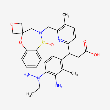 CCN(N)c1ccc(C(CC(=O)O)c2ccc(C)c(CN3CC4(COC4)Oc4ccccc4[S+]3[O-])n2)c(C)c1N